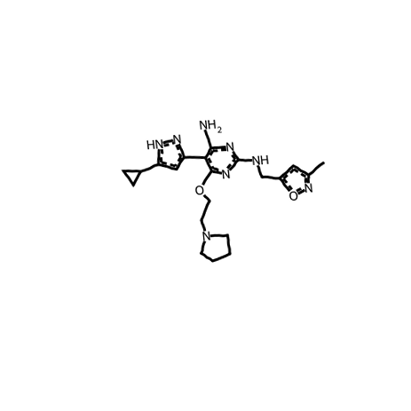 Cc1cc(CNc2nc(N)c(-c3cc(C4CC4)[nH]n3)c(OCCN3CCCC3)n2)on1